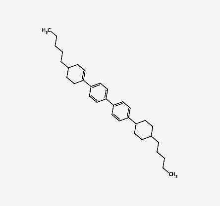 CCCCCC1CC=C(c2ccc(-c3ccc(C4CCC(CCCCC)CC4)cc3)cc2)CC1